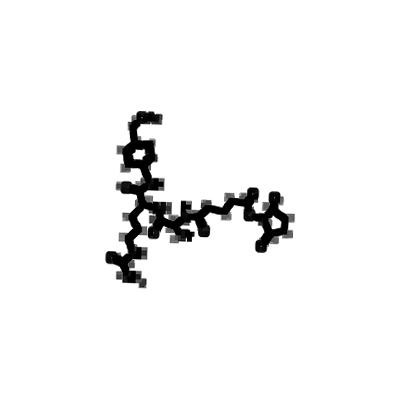 CC(=O)OCc1ccc(NC(=O)[C@H](CCCNC(N)=O)NC(=O)[C@@H](NC(=O)CCCC(=O)ON2C(=O)CCC2=O)C(C)C)cc1